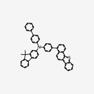 CC1(C)c2ccccc2-c2ccc(N(c3ccc(-c4ccccc4)cc3)c3ccc(-c4cccc5c4ccc4c6ccccc6sc54)cc3)cc21